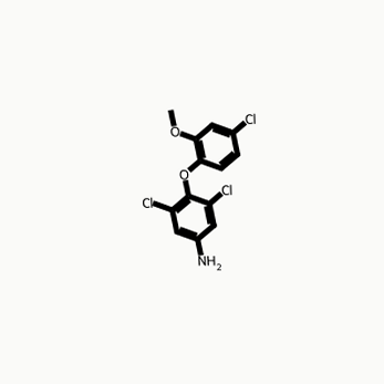 COc1cc(Cl)ccc1Oc1c(Cl)cc(N)cc1Cl